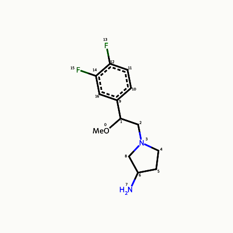 COC(CN1CCC(N)C1)c1ccc(F)c(F)c1